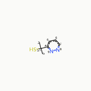 CC(C)(S)c1cccnn1